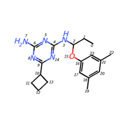 CCC(Nc1nc(N)nc(C2CCC2)n1)Oc1cc(C)cc(C)c1